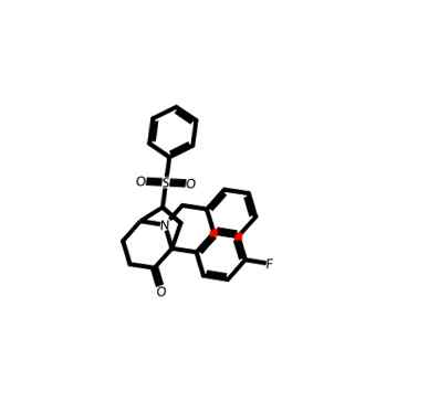 O=C1CCC2C(S(=O)(=O)c3ccccc3)CC1(c1ccc(F)cc1)N2Cc1ccccc1